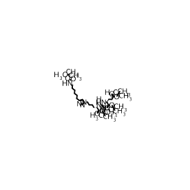 CC(C)(C)OC(=O)CC[C@H](NC(=O)N[C@@H](CCCCn1cc(CCCCCCNC(=O)OC(C)(C)C)nn1)C(=O)OC(C)(C)C)C(=O)OC(C)(C)C